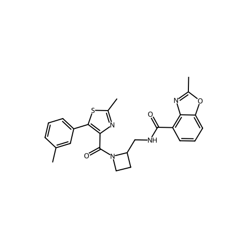 Cc1cccc(-c2sc(C)nc2C(=O)N2CCC2CNC(=O)c2cccc3oc(C)nc23)c1